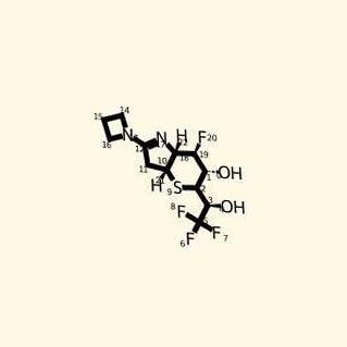 O[C@@H]1C([C@@H](O)C(F)(F)F)S[C@@H]2CC(N3CCC3)=N[C@@H]2[C@H]1F